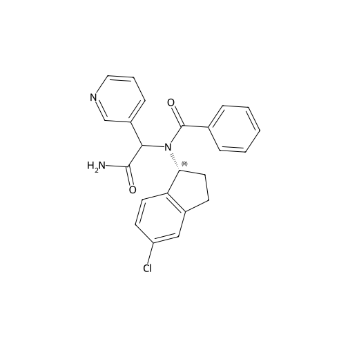 NC(=O)C(c1cccnc1)N(C(=O)c1ccccc1)[C@@H]1CCc2cc(Cl)ccc21